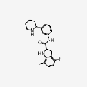 Cc1ccc(F)c2c1NC(C(=O)Nc1cccc(C3CCCCN3)c1)C2